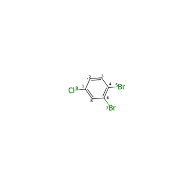 Clc1[c]cc(Br)c(Br)c1